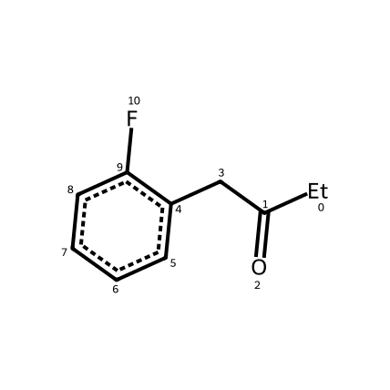 CCC(=O)Cc1ccccc1F